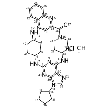 Cl.Cl.N[C@H]1CC[C@H](Nc2nc(NC3CCN(C(=O)c4cnc5ccccc5n4)CC3)c3ncn(C4CCCC4)c3n2)CC1